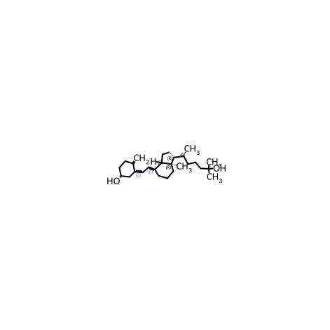 C=C1CCC(O)C/C1=C/C=C1\CCC[C@]2(C)[C@@H]([C@H](C)CCCC(C)(C)O)CC[C@@H]12